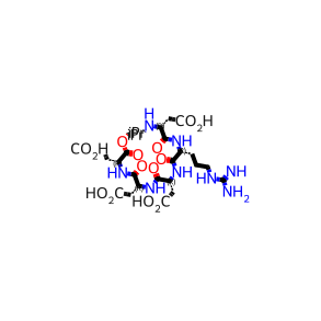 CC(C)N[C@H](CC(=O)O)C(=O)N[C@H](CCCNC(=N)N)C(=O)N[C@H](CC(=O)O)C(=O)N[C@H](CC(=O)O)C(=O)N[C@H](CC(=O)O)C(=O)OC(C)C